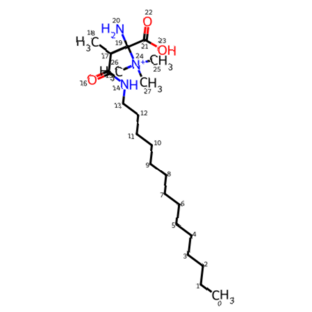 CCCCCCCCCCCCCCNC(=O)C(C)C(N)(C(=O)O)[N+](C)(C)C